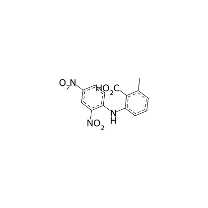 Cc1cccc(Nc2ccc([N+](=O)[O-])cc2[N+](=O)[O-])c1C(=O)O